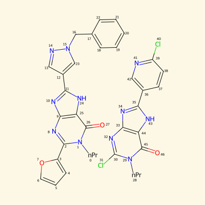 CCCn1c(-c2ccco2)nc2nc(-c3cnn(Cc4ccccc4)c3)[nH]c2c1=O.CCCn1c(Cl)nc2nc(-c3ccc(Cl)nc3)[nH]c2c1=O